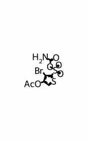 CC(=O)Oc1csc(S(=O)(=O)OC(N)=O)c1Br